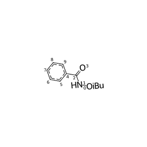 CC(C)CONC(=O)c1ccccc1